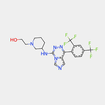 OCCN1CCCC(Nc2nnc(-c3ccc(C(F)(F)F)cc3C(F)(F)F)c3cncn23)C1